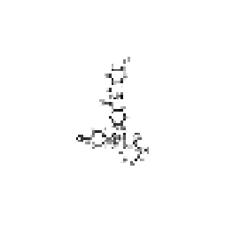 O=C(NCc1ccc(F)cc1)c1ccc(CN([C@@H]2CCCCNC2=O)S(=O)(=O)c2ccc(Cl)cc2)cc1